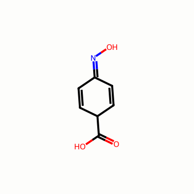 O=C(O)C1C=CC(=NO)C=C1